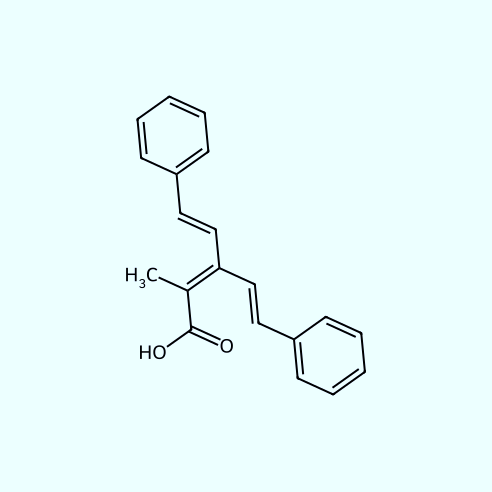 CC(C(=O)O)=C(C=Cc1ccccc1)C=Cc1ccccc1